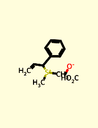 C=CC(c1ccccc1)[S+](C)C.O=C([O-])O